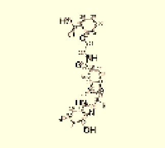 CC(c1nc2c(O)cc(F)cc2[nH]1)c1nc2ccc(C(=O)NCCOc3ccccc3C(=O)O)cc2n1C